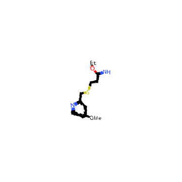 CCOC(=N)CCSCc1cc(OC)ccn1